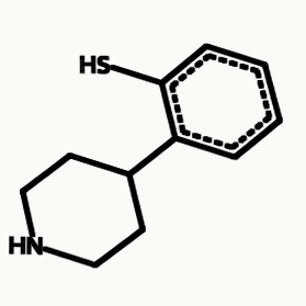 Sc1ccccc1C1CCNCC1